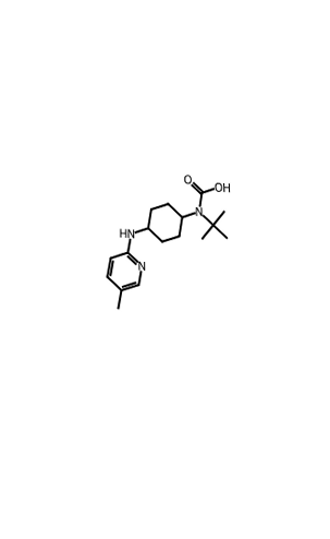 Cc1ccc(NC2CCC(N(C(=O)O)C(C)(C)C)CC2)nc1